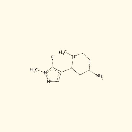 CN1CCC(N)CC1c1cnn(C)c1F